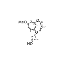 COC1C=CC(O[C@H]2C[C@H](O)C2)=C2C(=C1)OCC21CC1